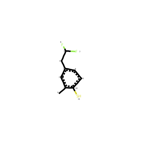 Cc1cc(CC(F)F)ccc1S